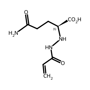 C=CC(=O)NN[C@@H](CCC(N)=O)C(=O)O